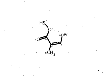 CCCC=C(C)C(=O)OS